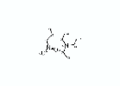 CCC[N+](=O)[O-].CCN(CC)CC